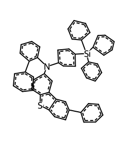 c1ccc(-c2ccc3sc4ccc(N(c5ccc([Si](c6ccccc6)(c6ccccc6)c6ccccc6)cc5)c5ccccc5-c5ccccc5)cc4c3c2)cc1